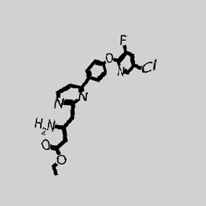 CCOC(=O)CC(N)Cc1nccc(-c2ccc(Oc3ncc(Cl)cc3F)cc2)n1